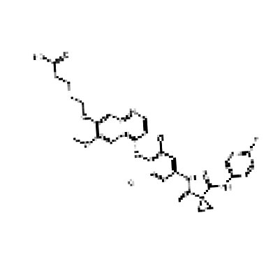 COc1cc2c(Oc3ccc(NC(=O)C4(C(=O)Nc5ccc(F)cc5)CC4)cc3Cl)ccnc2cc1OCCCCC(=O)O.[KH]